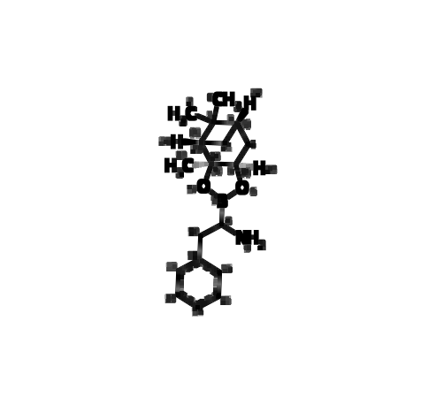 CC1(C)[C@@H]2C[C@H]3OB(C(N)Cc4ccccc4)O[C@@]3(C)[C@H]1C2